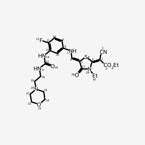 CCOC(=O)C(C#N)=c1sc(=CNc2ccc(F)c(NC(=O)NCCN3CCOCC3)c2)c(=O)n1CC